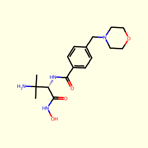 CC(C)(N)[C@H](NC(=O)c1ccc(CN2CCOCC2)cc1)C(=O)NO